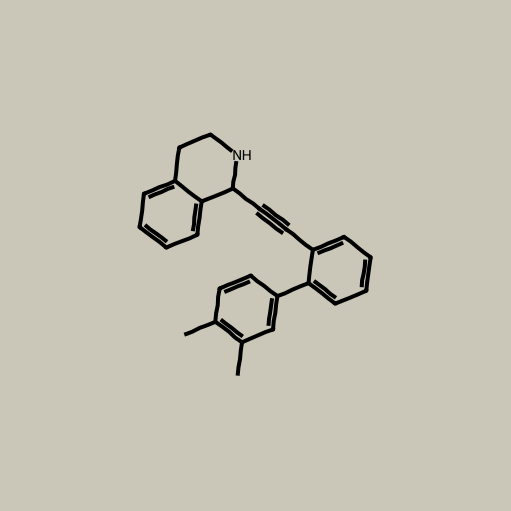 Cc1ccc(-c2ccccc2C#CC2NCCc3ccccc32)cc1C